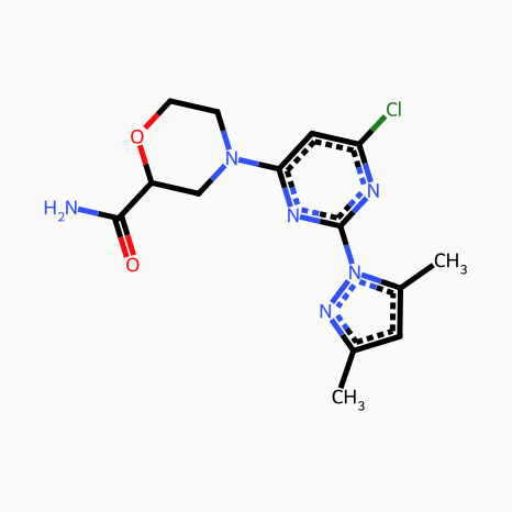 Cc1cc(C)n(-c2nc(Cl)cc(N3CCOC(C(N)=O)C3)n2)n1